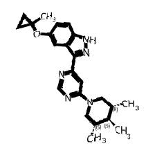 C[C@H]1[C@H](C)CN(c2cc(-c3n[nH]c4ccc(OC5(C)CC5)cc34)ncn2)C[C@@H]1C